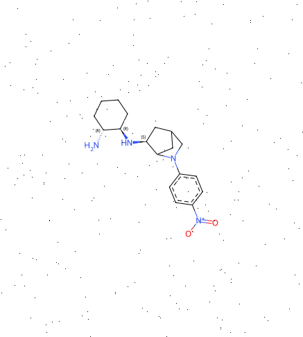 N[C@@H]1CCCC[C@H]1N[C@H]1CC2CC1N(c1ccc([N+](=O)[O-])cc1)C2